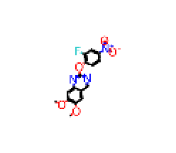 COc1cc2cnc(Oc3ccc([N+](=O)[O-])cc3F)nc2cc1OC